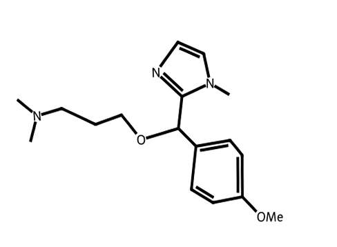 COc1ccc(C(OCCCN(C)C)c2nccn2C)cc1